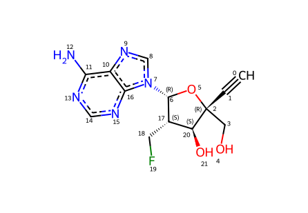 C#C[C@]1(CO)O[C@@H](n2cnc3c(N)ncnc32)[C@@H](CF)[C@@H]1O